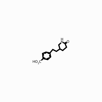 O=C1CCC(CCc2ccc(C(=O)O)cc2)CN1